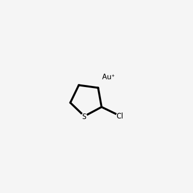 ClC1CCCS1.[Au+]